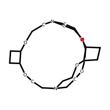 C1COCCN2CCOC3CCC3OCCN(CCO1)CCOC1CCC1OCC2